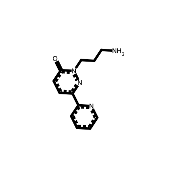 NCCCn1nc(-c2ccccn2)ccc1=O